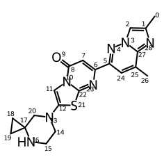 Cc1cn2nc(-c3cc(=O)n4cc(N5CCNC6(CC6)C5)sc4n3)cc(C)c2n1